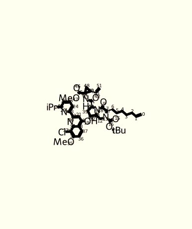 C=CCCCCC[C@@H]1C(=O)N2[C@H](CN1C(=O)OC(C)(C)C)[C@H](Oc1cc(-c3cccc(C(C)C)n3)nc3c(Cl)c(OC)ccc13)C[C@H]2C(=O)N[C@]1(C(=O)OC)C[C@H]1C=C